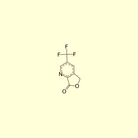 O=C1OCc2cc(C(F)(F)F)cnc21